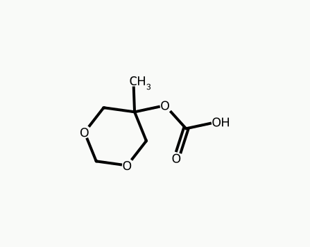 CC1(OC(=O)O)COCOC1